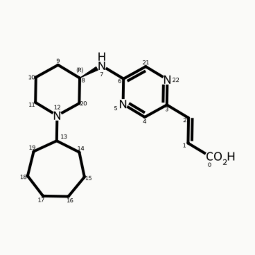 O=C(O)C=Cc1cnc(N[C@@H]2CCCN(C3CCCCCC3)C2)cn1